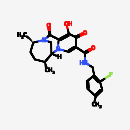 Cc1ccc(CNC(=O)c2cn3c(c(O)c2=O)C(=O)N2C[C@@H]3[C@@H](C)CC[C@@H]2C)c(F)c1